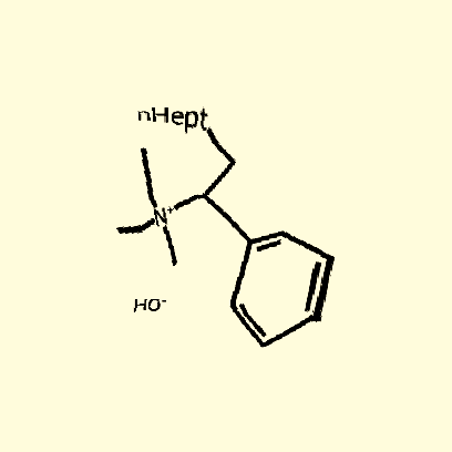 CCCCCCCCC(c1ccccc1)[N+](C)(C)C.[OH-]